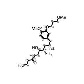 CC[C@@H](Cc1ccc(OC)c(OCCCOC)c1)C[C@H](N)[C@@H](O)CNC(=O)CCC(F)(F)F